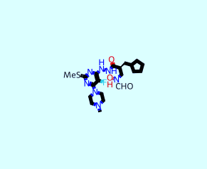 CSc1nc(NNC(=O)[C@@H](CC2CCCC2)CN(O)C=O)c(F)c(N2CCN(C)CC2)n1